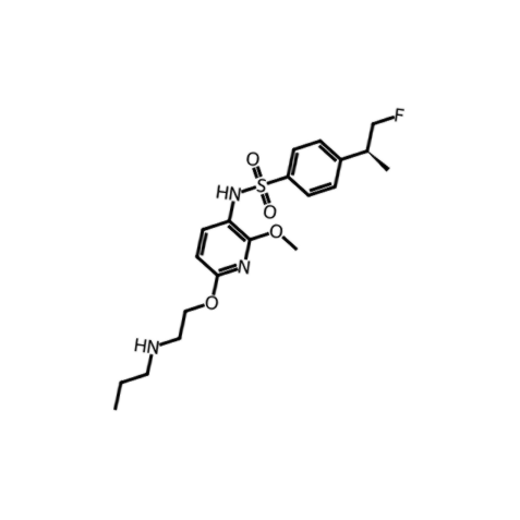 CCCNCCOc1ccc(NS(=O)(=O)c2ccc([C@H](C)CF)cc2)c(OC)n1